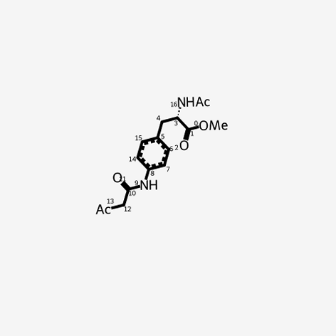 COC(=O)[C@H](Cc1ccc(NC(=O)CC(C)=O)cc1)NC(C)=O